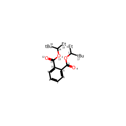 CCC(OC(=O)c1ccccc1C(=O)OC(CC)C(C)(C)C)C(C)(C)C